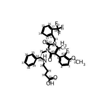 COc1cccc(-c2c(C)n(Cc3ccccc3C(F)(F)F)c(=O)n(C[C@H](NCCCC(=O)O)c3ccccc3)c2=O)c1F